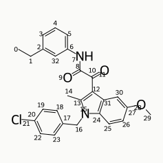 CCc1cccc(NC(=O)C(=O)c2c(C)n(Cc3ccc(Cl)cc3)c3ccc(OC)cc23)c1